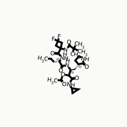 CCC[C@H](NC(=O)C1(NC(=O)C(C)(C)C)CC(F)(F)C1)C(=O)N[C@@H](C[C@@H]1CCNC1=O)C(OC(C)=O)C(=O)NC1CC1